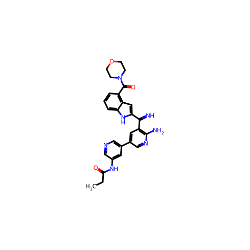 CCC(=O)Nc1cncc(-c2cnc(N)c(C(=N)c3cc4c(C(=O)N5CCOCC5)cccc4[nH]3)c2)c1